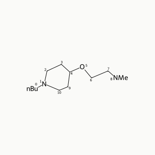 CCCCN1CCC(OCCNC)CC1